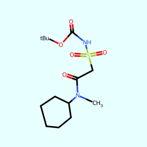 CN(C(=O)CS(=O)(=O)NC(=O)OC(C)(C)C)C1CCCCC1